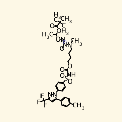 Cc1ccc(-c2cc(C(F)(F)F)nn2-c2ccc(S(=O)(=O)NC(=O)OCCCCN(C)/[N+]([O-])=N/OC(C)OC(=O)C(C)(C)C)cc2)cc1